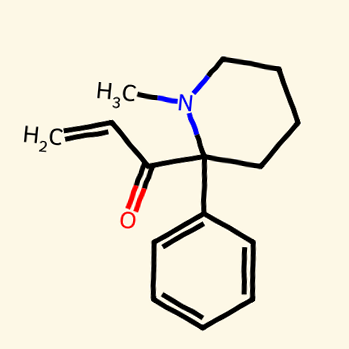 C=CC(=O)C1(c2ccccc2)CCCCN1C